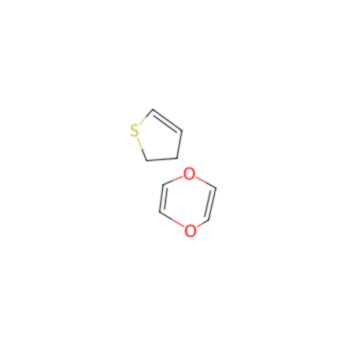 C1=COC=CO1.C1=CSCC1